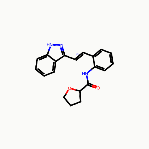 O=C(Nc1ccccc1/C=C/c1n[nH]c2ccccc12)C1CCCO1